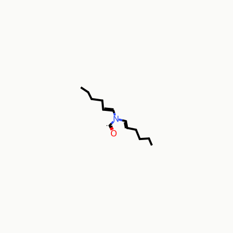 CCCCC=CN([C]=O)C=CCCCC